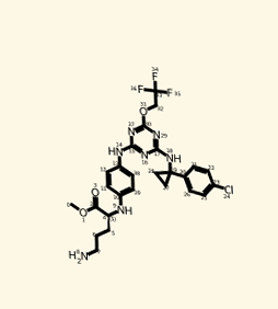 COC(=O)[C@H](CCCN)Nc1ccc(Nc2nc(NC3(c4ccc(Cl)cc4)CC3)nc(OCC(F)(F)F)n2)cc1